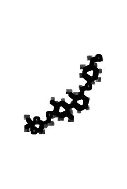 Cc1cc(-c2cccc(COc3ccc(C=O)cc3)c2C)c(C)cc1OC[C@H]1COC(C)(C)O1